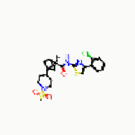 CS(=O)(=O)N1CCC(C23CC(C2)[C@H](C(=O)Nc2nc(-c4ccccc4Cl)cs2)C3)CC1